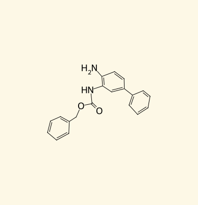 Nc1ccc(-c2ccccc2)cc1NC(=O)OCc1ccccc1